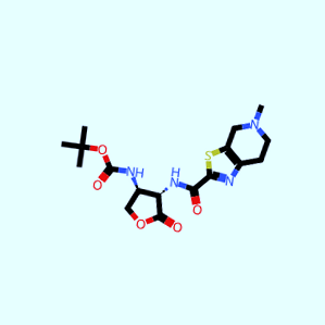 CN1CCc2nc(C(=O)N[C@@H]3C(=O)OC[C@H]3NC(=O)OC(C)(C)C)sc2C1